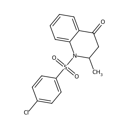 CC1CC(=O)c2ccccc2N1S(=O)(=O)c1ccc(Cl)cc1